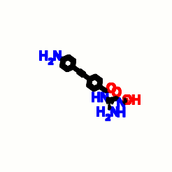 NC[C@H](NC(=O)c1ccc(C#Cc2ccc(N)cc2)cc1)C(=O)NO